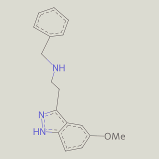 COc1ccc2[nH]nc(CCNCc3ccccc3)c2c1